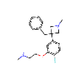 CNCCOc1cc(C2(Cc3ccccc3)CN(C)C2)ccc1F